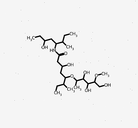 CCC(O)CC(NC(=O)CC(O)CC(OC(C)C(O)C(O)C(CO)OC)C(C)CC)C(C)CC